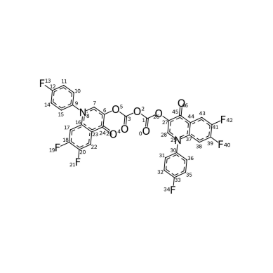 O=C(OC(=O)Oc1cn(-c2ccc(F)cc2)c2cc(F)c(F)cc2c1=O)Oc1cn(-c2ccc(F)cc2)c2cc(F)c(F)cc2c1=O